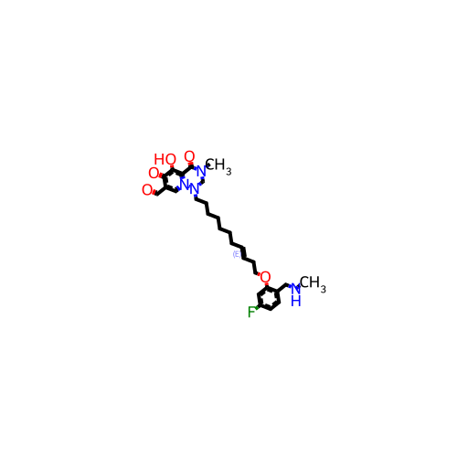 CNCc1ccc(F)cc1OCC/C=C/CCCCCCCN1CN(C)C(=O)c2c(O)c(=O)c(C=O)cn21